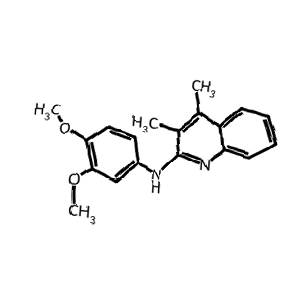 COc1ccc(Nc2nc3ccccc3c(C)c2C)cc1OC